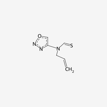 C=CCN(C=S)c1conn1